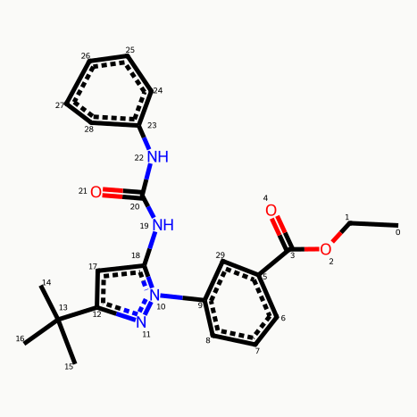 CCOC(=O)c1cccc(-n2nc(C(C)(C)C)cc2NC(=O)Nc2ccccc2)c1